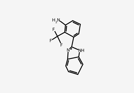 Nc1cccc(-c2nc3ccccc3[nH]2)c1C(F)(F)F